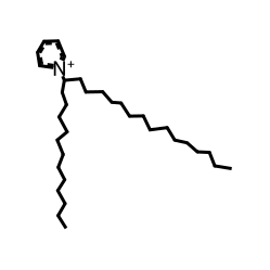 CCCCCCCCCCCCCCCC(CCCCCCCCCCCC)[n+]1ccccc1